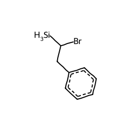 [SiH3]C(Br)Cc1ccccc1